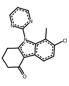 Cc1c(Cl)ccc2c3c(n(-c4ncccn4)c12)CCCC3=O